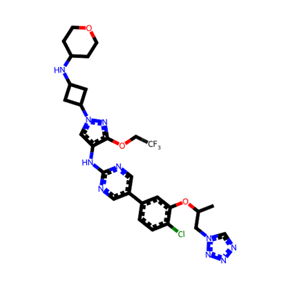 CC(Cn1cnnn1)Oc1cc(-c2cnc(Nc3cn(C4CC(NC5CCOCC5)C4)nc3OCC(F)(F)F)nc2)ccc1Cl